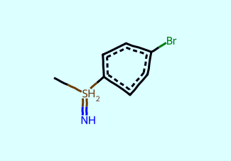 C[SH2](=N)c1ccc(Br)cc1